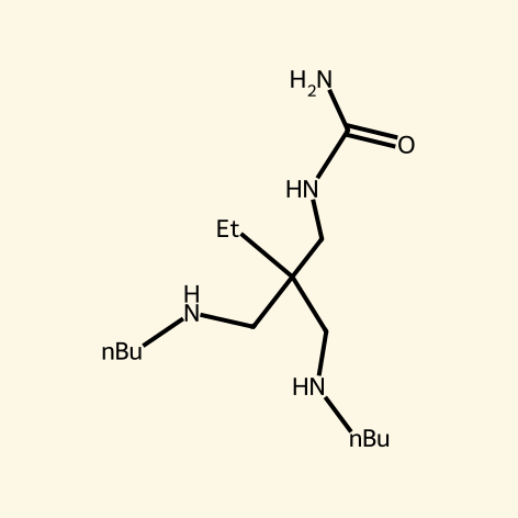 CCCCNCC(CC)(CNCCCC)CNC(N)=O